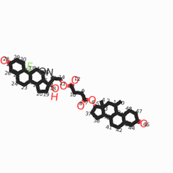 CC1CC2(C)C(OC(=O)CCC(=O)OCC(N=O)[C@@]3(O)CCC4C5CCC6=CC(=O)C=CC6C5(F)CCC43)CCC2C2CCC3=CC(=O)CCC3C12